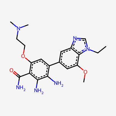 CCn1cnc2cc(-c3cc(OCCN(C)C)c(C(N)=O)c(N)c3N)cc(OC)c21